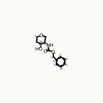 O=C(N[C@H]1COCC[C@@H]1O)OCc1ccccc1